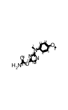 COc1ccc(N(C)c2nsc(OC(N)=O)n2)cc1